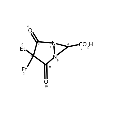 CCC1(CC)C(=O)N2C(C(=O)O)N2C1=O